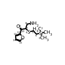 C[Si](C)(C)CCSC(CN)C(=O)c1ccco1